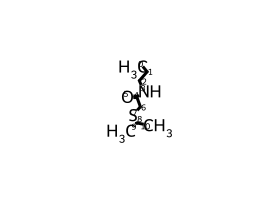 CCCNC(=O)CSC(C)C